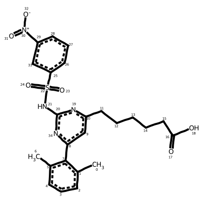 Cc1cccc(C)c1-c1cc(CCCCCC(=O)O)nc(NS(=O)(=O)c2cccc([N+](=O)[O-])c2)n1